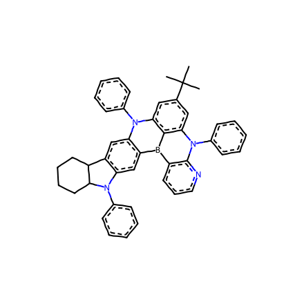 CC(C)(C)c1cc2c3c(c1)N(c1ccccc1)c1ncccc1B3c1cc3c(cc1N2c1ccccc1)C1CCCCC1N3c1ccccc1